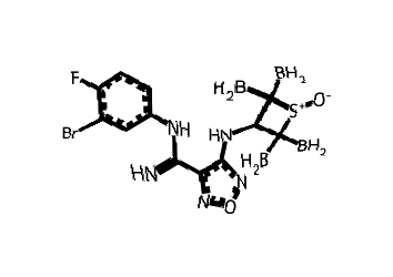 BC1(B)C(Nc2nonc2C(=N)Nc2ccc(F)c(Br)c2)C(B)(B)[S+]1[O-]